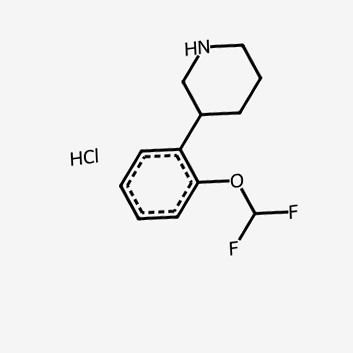 Cl.FC(F)Oc1ccccc1C1CCCNC1